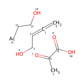 C=C=CCO.CC(=O)C(=O)O.CC(=O)CCO